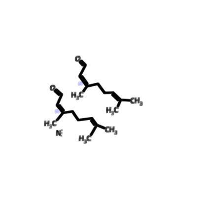 CC(C)=CCC/C(C)=C\C=O.CC(C)=CCC/C(C)=C\C=O.[N]